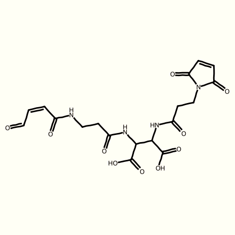 O=C/C=C\C(=O)NCCC(=O)NC(C(=O)O)C(NC(=O)CCN1C(=O)C=CC1=O)C(=O)O